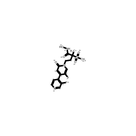 CC(CCn1cc(F)c(-c2ccncc2F)cc1=O)(C(=O)NO)S(C)(=O)=O